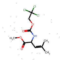 COC(=O)C(C=C(C)C)NC(=O)OCC(Cl)(Cl)Cl